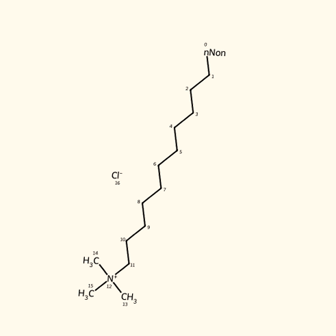 CCCCCCCCCCCCCCCCCCCC[N+](C)(C)C.[Cl-]